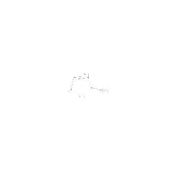 BrC1N=[C]CO1